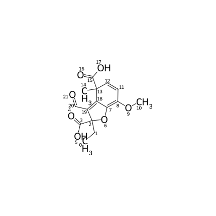 CCC1(C(=O)O)OC2=C(OC)C=CC(C)(C(=O)O)C2=C1C=O